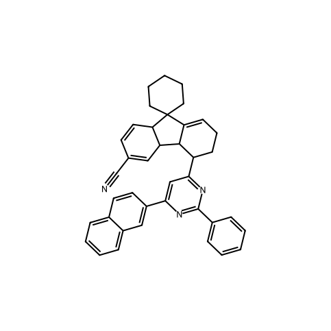 N#CC1=CC2C3C(=CCCC3c3cc(-c4ccc5ccccc5c4)nc(-c4ccccc4)n3)C3(CCCCC3)C2C=C1